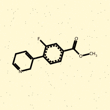 COC(=O)c1ccc(C2=CCC=NC2)c(F)c1